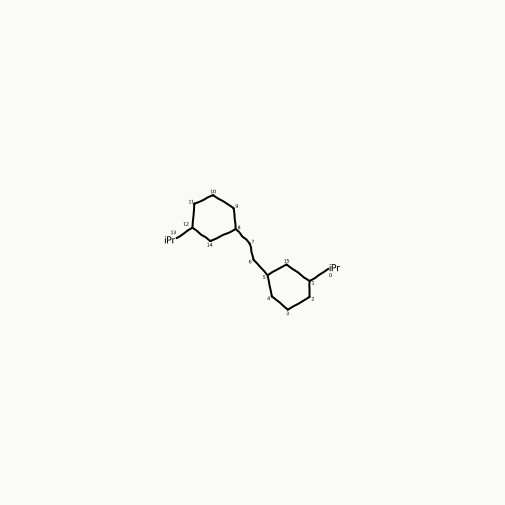 CC(C)C1CCCC(CCC2CCCC(C(C)C)C2)C1